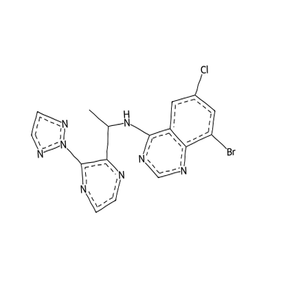 CC(Nc1ncnc2c(Br)cc(Cl)cc12)c1nccnc1-n1nccn1